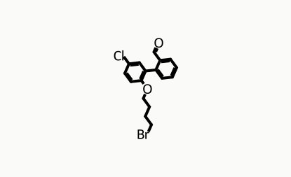 O=Cc1ccccc1-c1cc(Cl)ccc1OCCCCBr